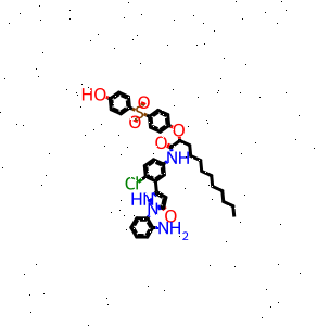 CCCCCCCCCCC(Oc1ccc(S(=O)(=O)c2ccc(O)cc2)cc1)C(=O)Nc1ccc(Cl)c(-c2cc(=O)n(-c3ccccc3N)[nH]2)c1